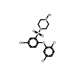 CC(C)N1CCN(S(=O)(=O)c2cc(N=O)ccc2Oc2cc(Cl)ccc2Cl)CC1